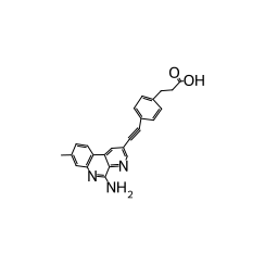 Cc1ccc2c(c1)nc(N)c1ncc(C#Cc3ccc(CCC(=O)O)cc3)cc12